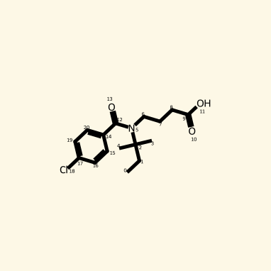 CCC(C)(C)N(CCCC(=O)O)C(=O)c1ccc(Cl)cc1